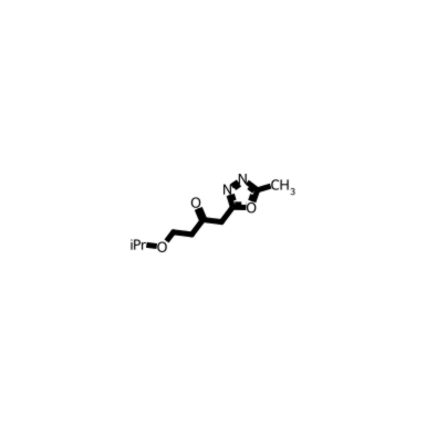 Cc1nnc(CC(=O)CCOC(C)C)o1